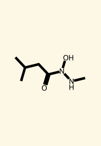 CNN(O)C(=O)CC(C)C